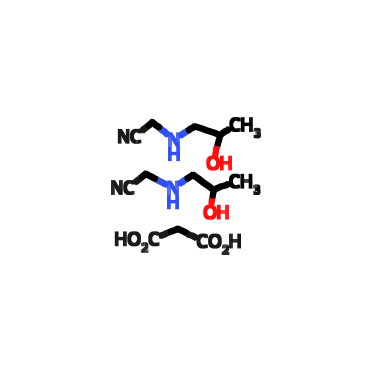 CC(O)CNCC#N.CC(O)CNCC#N.O=C(O)CC(=O)O